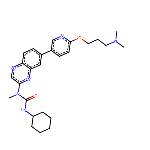 CN(C)CCCOc1ccc(-c2ccc3ncc(N(C)C(=O)NC4CCCCC4)nc3c2)cn1